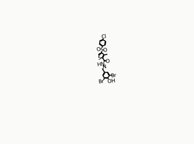 Cc1c(S(=O)(=O)c2ccc(Cl)cc2)csc1C(=O)N/N=C/c1cc(Br)c(O)c(Br)c1